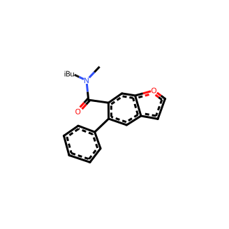 CCC(C)N(C)C(=O)c1cc2occc2cc1-c1ccccc1